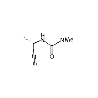 C#C[C@H](C)NC(=O)NC